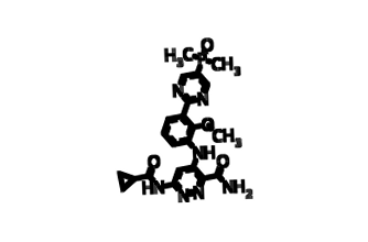 COc1c(Nc2cc(NC(=O)C3CC3)nnc2C(N)=O)cccc1-c1ncc(P(C)(C)=O)cn1